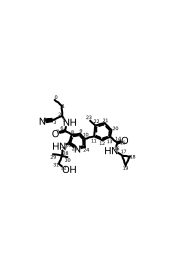 CCC(C#N)NC(=O)c1cc(-c2cc(C(=O)NC3CC3)ccc2C)cnc1NC(C)(C)CO